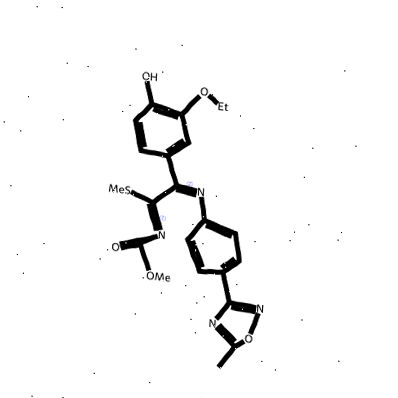 CCOc1cc(C(=N/c2ccc(-c3noc(C)n3)cc2)/C(=N/C(=O)OC)SC)ccc1O